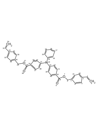 C=Cc1ccc(COC(=O)c2ccc(N(c3ccccc3)c3ccc(C(=O)OCc4ccc(C=C)cc4)cc3)cc2)cc1